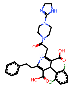 O=C(O)C1=C(CCc2ccccc2)NC(CC(=O)N2CCN(C3=NCCN3)CC2)=C(C(=O)O)C1c1c(Cl)cccc1Cl